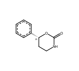 O=C1NCC[C@H](c2ccccc2)O1